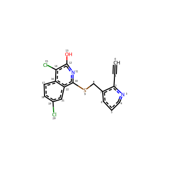 C#Cc1ncccc1CSc1nc(O)c(Cl)c2ccc(Cl)cc12